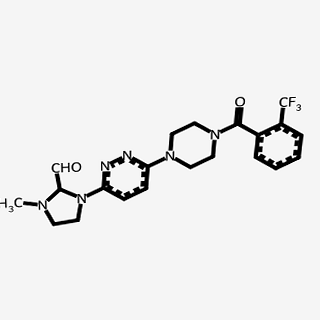 CN1CCN(c2ccc(N3CCN(C(=O)c4ccccc4C(F)(F)F)CC3)nn2)C1C=O